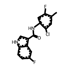 Cc1cc(Cl)c(NC(=O)c2c[nH]c3ccc(F)cc23)cc1F